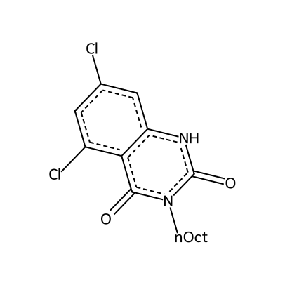 CCCCCCCCn1c(=O)[nH]c2cc(Cl)cc(Cl)c2c1=O